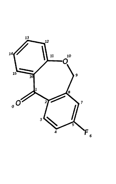 O=C1c2ccc(F)cc2COc2ccccc21